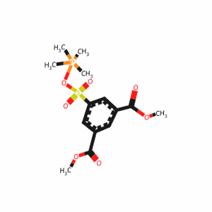 COC(=O)c1cc(C(=O)OC)cc(S(=O)(=O)OP(C)(C)(C)C)c1